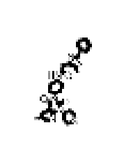 Cc1sc(-c2ccccc2)nc1CC(=O)N[C@H]1CC[C@@H](n2c(=O)c3cc(F)cnc3n(C3CCSCC3)c2=O)CC1